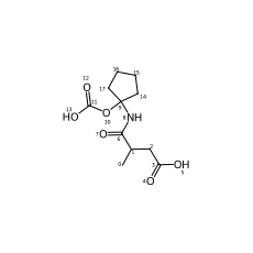 CC(CC(=O)O)C(=O)NC1(OC(=O)O)CCCC1